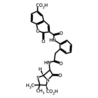 CC1(C)S[C@@H]2C(NC(=O)Cc3ccccc3NC(=O)c3cc4cc(C(=O)O)ccc4oc3=O)C(=O)N2[C@H]1C(=O)O